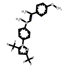 COc1ccc(/C(N)=C/N(N)c2ccc(-n3nc(C(F)(F)F)cc3C(F)(F)F)cc2)cc1